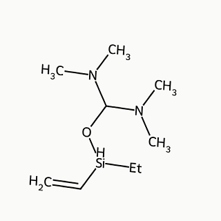 C=C[SiH](CC)OC(N(C)C)N(C)C